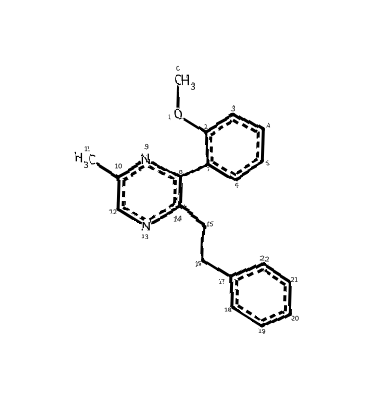 COc1ccccc1-c1nc(C)cnc1CCc1ccccc1